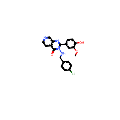 COc1cc(-c2nc3cnccc3c(=O)n2NCc2ccc(Cl)cc2)ccc1O